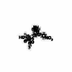 C=CCOC(=O)C1=C(S[C@@H]2C[C@H](CNS(N)(=O)=O)N(C(=O)OCc3ccc([N+](=O)[O-])cc3)C2)S[C@@H]2[C@@H]([C@@H](C)O)C(=O)N12